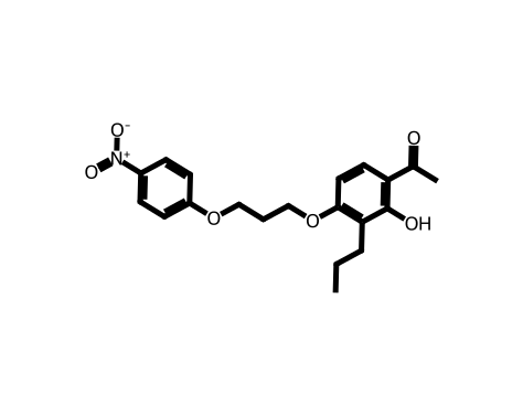 CCCc1c(OCCCOc2ccc([N+](=O)[O-])cc2)ccc(C(C)=O)c1O